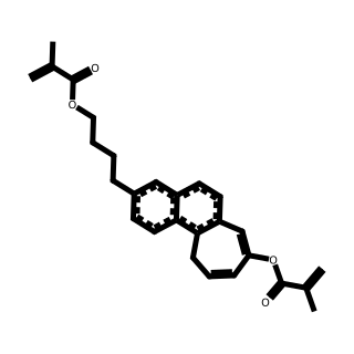 C=C(C)C(=O)OCCCCc1ccc2c3c(ccc2c1)C=C(OC(=O)C(=C)C)C=CC3